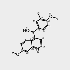 COc1ccc2c(C(O)c3ccc(OC)c(C)c3)ccnc2c1